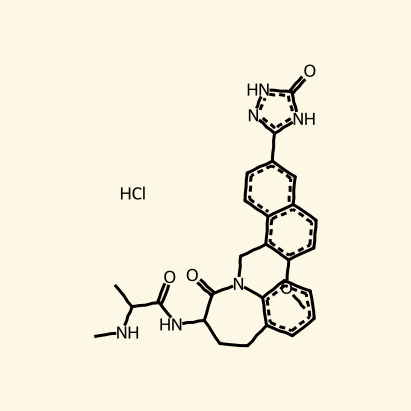 CNC(C)C(=O)NC1CCc2ccccc2N(Cc2c(OC)ccc3cc(-c4n[nH]c(=O)[nH]4)ccc23)C1=O.Cl